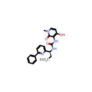 CCOC(=O)C[C@H](NC(=O)Nc1c(O)ccn(C)c1=O)c1cccc(-c2ccccc2)n1